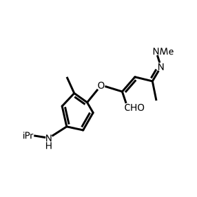 CN/N=C(C)\C=C(/C=O)Oc1ccc(NC(C)C)cc1C